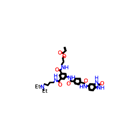 C=CC(=O)OCCCNC(=O)c1cc(NC(=O)c2ccc(C(=O)Nc3ccc4[nH]c(=O)[nH]c4c3)cc2)cc(C(=O)NCCCCN(CC)CC)c1